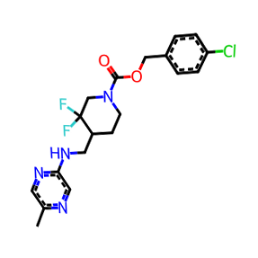 Cc1cnc(NCC2CCN(C(=O)OCc3ccc(Cl)cc3)CC2(F)F)cn1